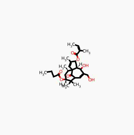 C/C=C(/C)C(=O)O[C@H]1C(C)=CC23C(=O)C(C=C(CO)C(O)[C@H]12)C(C)(C)[C@](C)(OC(=O)CCC)C[C@H]3C